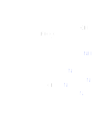 CCOC(=O)C1=C(C)Nc2nnnn2C1c1ccccc1C(F)(F)F